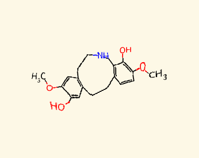 COc1cc2c(cc1O)CCc1ccc(OC)c(O)c1CNCC2